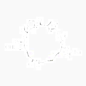 CC1=C\C(O[Si](C)(C)C(C)(C)C)C[C@@H](F)Cc2nc(co2)C(=O)N2CCC[C@@H]2C(=O)O[C@H](C(C)C)[C@H](CC=O)/C=C/C(=O)NC\C=C\1